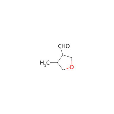 CC1COCC1C=O